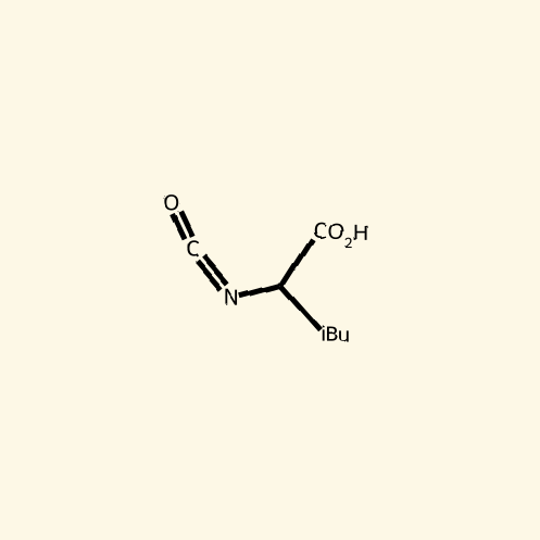 CCC(C)C(N=C=O)C(=O)O